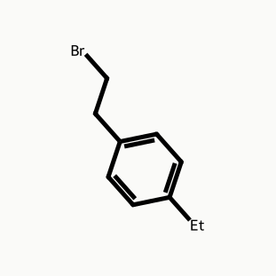 CCc1ccc(CCBr)cc1